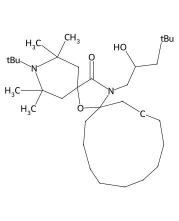 CC(C)(C)CC(O)CN1C(=O)C2(CC(C)(C)N(C(C)(C)C)C(C)(C)C2)OC12CCCCCCCCCCC2